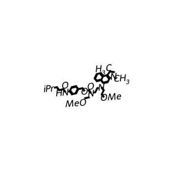 COCCN(CCN(CCOC)c1cc2c(c3ccccc13)[C@H](C)CN2C)C(=O)OCc1ccc(NC(=O)CCC(C)C)cc1